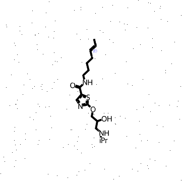 C/C=C/CCCCNC(=O)c1cnc(OCC(O)CNC(C)C)s1